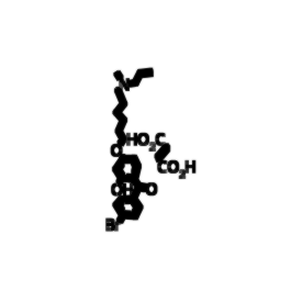 C=CCN(C)CCCCCCOc1ccc(C(=O)c2ccc(Br)cc2)c(O)c1.O=C(O)C=CC(=O)O